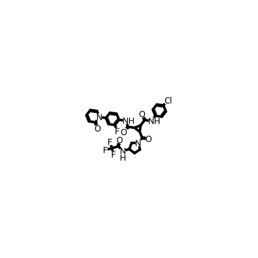 O=C(Nc1ccc(Cl)cc1)C1C(C(=O)Nc2ccc(-n3ccccc3=O)cc2F)C1C(=O)N1CCC(NC(=O)C(F)(F)F)C1